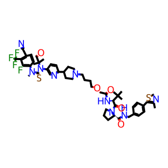 Cc1ncsc1-c1ccc(CNC(=O)[C@@H]2CCCN2C(=O)[C@@H](NC(=O)COCCCCN2CCC(c3ccc(N(C(=S)N(C)c4ccc(C#N)c(C(F)(F)F)c4F)C(C)(C)C=O)cn3)CC2)C(C)(C)C)cc1